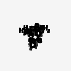 CCCCc1oc2ccccc2c1C(=O)c1ccc(C(N)=O)c(C(C)(C)C)c1